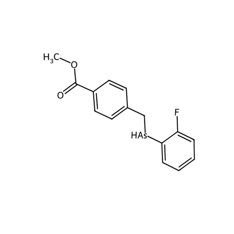 COC(=O)c1ccc(C[AsH]c2ccccc2F)cc1